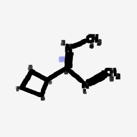 C=N/C(=N\C)C1CCC1